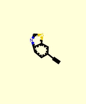 C#Cc1ccc2n[c]sc2c1